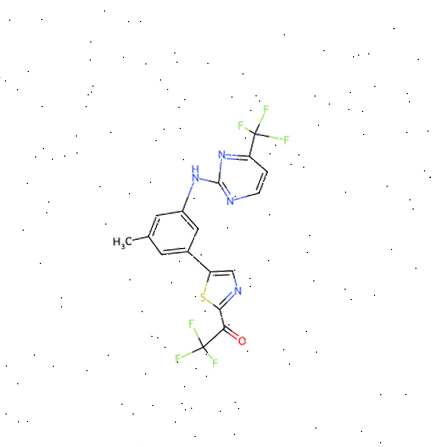 Cc1cc(Nc2nccc(C(F)(F)F)n2)cc(-c2cnc(C(=O)C(F)(F)F)s2)c1